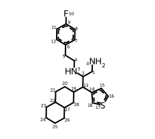 NCC(NCCc1ccc(F)cc1)C(c1ccsc1)C1CCC2CCCCC2C1